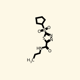 CCCNC(=O)c1nnc(S(=O)(=O)C2CCCC2)s1